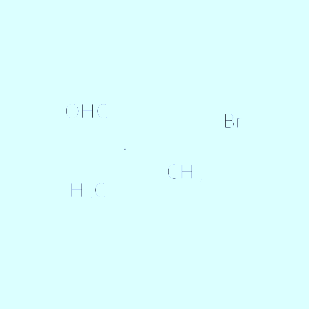 CC(C)(C=O)CBr